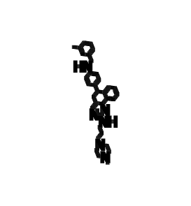 Cc1cccc(CNc2ccc(C3Cc4cnc(NCCCN5CCN(C)CC5)nc4-c4ccccc43)cc2)c1